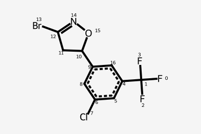 FC(F)(F)c1cc(Cl)cc(C2CC(Br)=NO2)c1